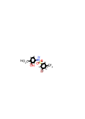 O=C(O)c1ccc(NS(=O)(=O)c2cc(Br)cc(C(F)(F)F)c2)cc1O